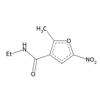 CCNC(=O)c1cc([N+](=O)[O-])oc1C